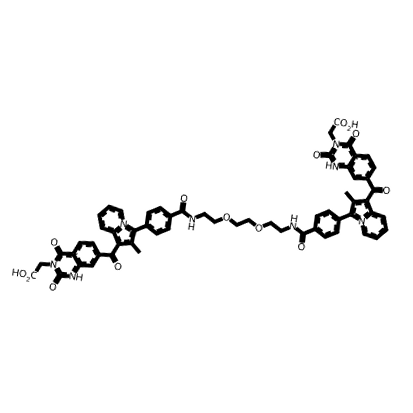 Cc1c(C(=O)c2ccc3c(=O)n(CC(=O)O)c(=O)[nH]c3c2)c2ccccn2c1-c1ccc(C(=O)NCCOCCOCCNC(=O)c2ccc(-c3c(C)c(C(=O)c4ccc5c(=O)n(CC(=O)O)c(=O)[nH]c5c4)c4ccccn34)cc2)cc1